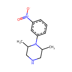 CC1CNCC(C)N1c1cccc([N+](=O)[O-])c1